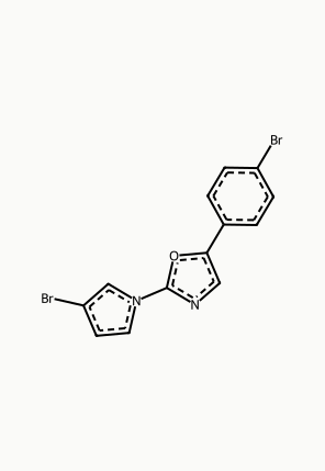 Brc1ccc(-c2cnc(-n3ccc(Br)c3)o2)cc1